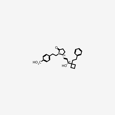 O=C(O)c1ccc(CCN2C(=O)CC[C@@H]2C=C[C@@H](O)C2(CCc3ccccc3)CCC2)cc1